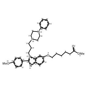 COC(=O)CCCCCOc1ccc2nc(-c3ccc(OC)cc3)n(CCCN3CCN(c4ccccc4)CC3)c2c1